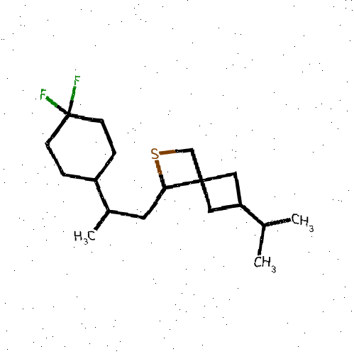 CC(C)C1CC2(CSC2CC(C)C2CCC(F)(F)CC2)C1